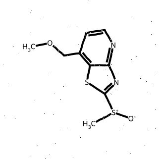 COCc1ccnc2nc([S+](C)[O-])sc12